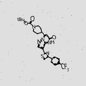 CC(C)(C)OC(=O)N1CCC(c2cc(=O)[nH]c3c(-c4nc(-c5ccc(C(F)(F)F)cc5)cs4)cnn23)CC1